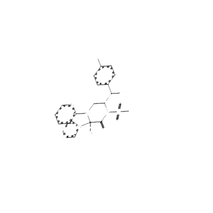 CCCC1(n2cnnc2)C(=O)N(S(C)(=O)=O)C(C(O)c2ccc(Cl)cc2)CN1c1ccccn1